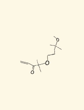 C=CC(=O)C(C)(C)OCCC(C)(C)OC